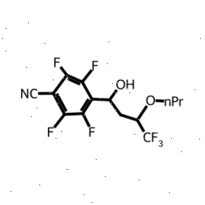 CCCOC(CC(O)c1c(F)c(F)c(C#N)c(F)c1F)C(F)(F)F